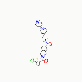 O=C(c1ccc2c(c1)CN(C(=O)c1ccc(Cl)s1)C2)N1CCC2(CC1)CCN(c1ccncc1)CC2